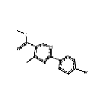 COC(=O)c1cnc(-c2ccc(Br)cc2)nc1C